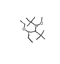 CCOP(CC)C(N(OC)C(C)(C)C)C(C)(C)C